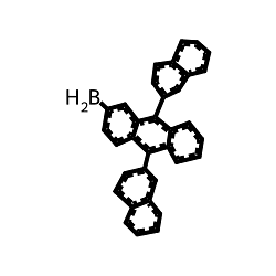 Bc1ccc2c(-c3ccc4ccccc4c3)c3ccccc3c(-c3ccc4ccccc4c3)c2c1